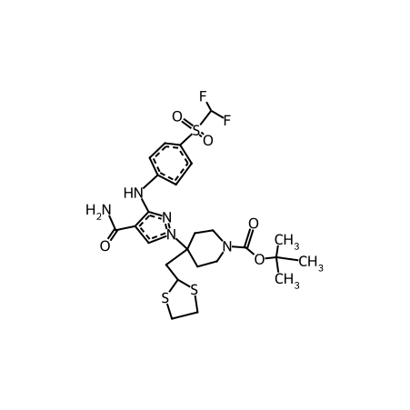 CC(C)(C)OC(=O)N1CCC(CC2SCCS2)(n2cc(C(N)=O)c(Nc3ccc(S(=O)(=O)C(F)F)cc3)n2)CC1